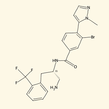 Cn1nccc1-c1ccc(C(=O)N[C@H](CN)Cc2ccccc2C(F)(F)F)cc1Br